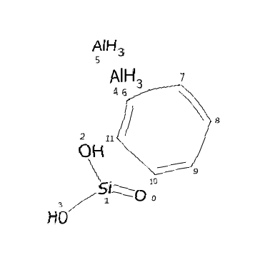 O=[Si](O)O.[AlH3].[AlH3].c1ccccc1